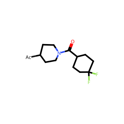 CC(=O)C1CCN(C(=O)C2CCC(F)(F)CC2)CC1